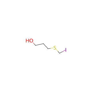 OCCCSCI